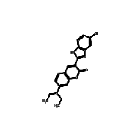 CCN(CC)c1ccc2cc(-c3nc4cc(Cl)ccc4[nH]3)c(=O)oc2c1